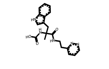 CC(Cc1c[nH]c2ccccc12)(NC(=O)O)C(=O)NCCc1cccnn1